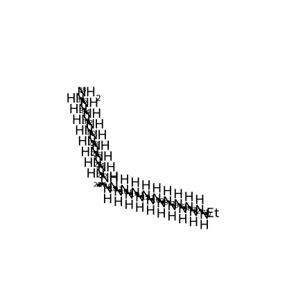 CCNNNNNNNNNNNNNNNNNNNC(C)NNNNNNNNNNNNNNNNN